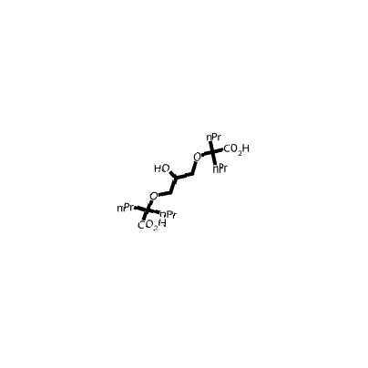 CCCC(CCC)(OCC(O)COC(CCC)(CCC)C(=O)O)C(=O)O